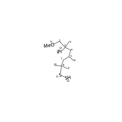 COCC(C)(CC(C)CC(C)(C)SS)C(C)C